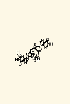 Nc1nc2c(ncn2[C@@H]2OC3CC[C@H]4[C@@H](F)[C@H](n5cnc6c(=O)[nH]cnc65)O[C@@H]4COP(=O)(S)O[C@@H]2[C@@H]3F)c(=O)[nH]1